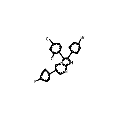 Fc1ccc(-c2cnc3nc(-c4ccc(Br)cc4)c(-c4ccc(Cl)cc4Cl)n3c2)cc1